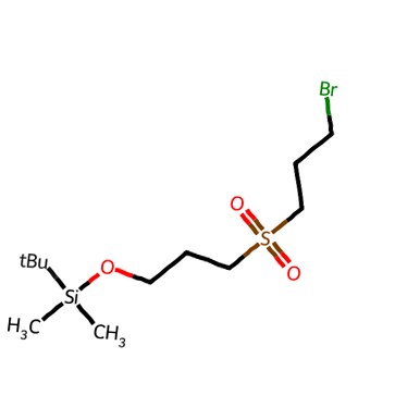 CC(C)(C)[Si](C)(C)OCCCS(=O)(=O)CCCBr